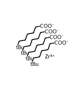 CC(C)(C)CCCCCC(=O)[O-].CC(C)(C)CCCCCC(=O)[O-].CC(C)(C)CCCCCC(=O)[O-].CC(C)(C)CCCCCC(=O)[O-].[Zr+4]